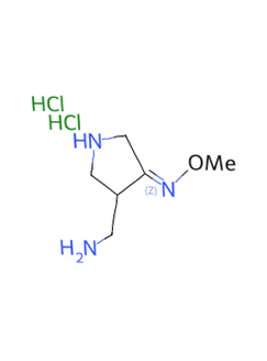 CO/N=C1\CNCC1CN.Cl.Cl